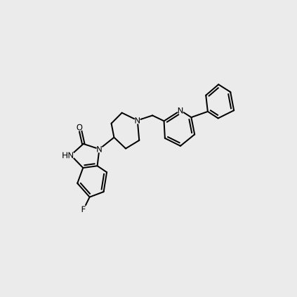 O=c1[nH]c2cc(F)ccc2n1C1CCN(Cc2cccc(-c3ccccc3)n2)CC1